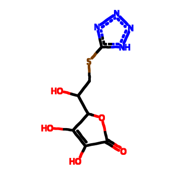 O=C1OC(C(O)CSc2nnn[nH]2)C(O)=C1O